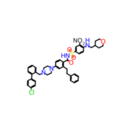 O=C(NS(=O)(=O)c1ccc(NCC2CCOCC2)c([N+](=O)[O-])c1)c1ccc(N2CCN(Cc3ccccc3-c3ccc(Cl)cc3)CC2)cc1CCc1ccccc1